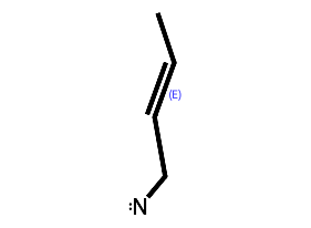 C/C=C/C[N]